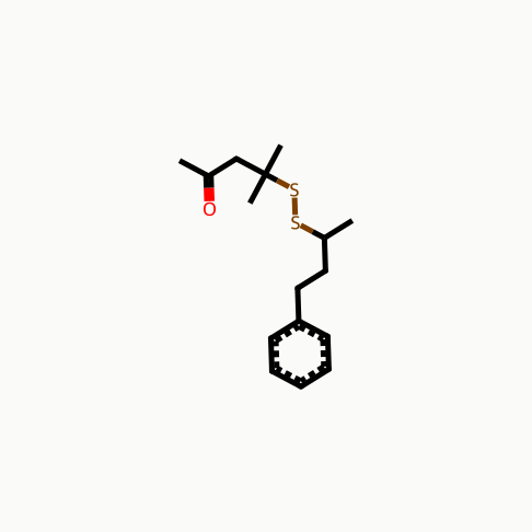 CC(=O)CC(C)(C)SSC(C)CCc1ccccc1